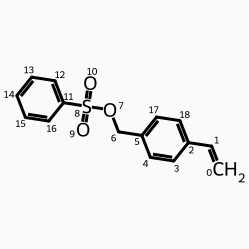 C=Cc1ccc(COS(=O)(=O)c2ccccc2)cc1